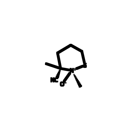 C[C@@]1(C#N)CCCS[N@@+]1(C)[O-]